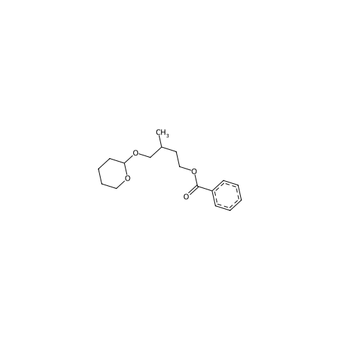 CC(CCOC(=O)c1ccccc1)COC1CCCCO1